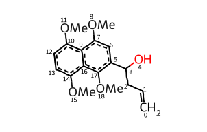 C=CCC(O)c1cc(OC)c2c(OC)ccc(OC)c2c1OC